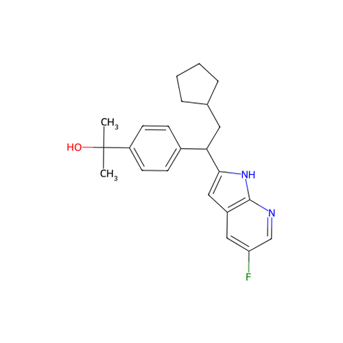 CC(C)(O)c1ccc(C(CC2CCCC2)c2cc3cc(F)cnc3[nH]2)cc1